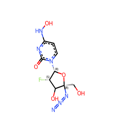 [N-]=[N+]=N[C@]1(CO)O[C@@H](n2ccc(NO)nc2=O)[C@@H](F)C1O